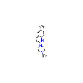 CCCc1ccc2nc(N3CCN(C(C)C)CC3)ccc2c1